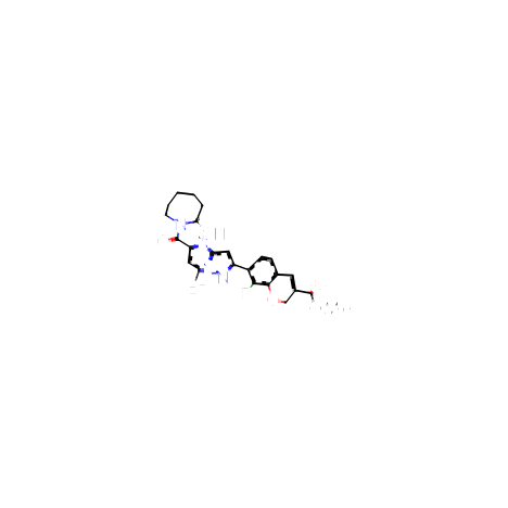 CCc1cc(C(=O)N2CCCCC[C@H]2C)nc2cc(-c3ccc4c(c3F)OCC(C(=O)OC)=C4)nn12